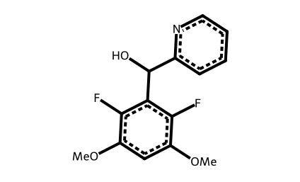 COc1cc(OC)c(F)c(C(O)c2ccccn2)c1F